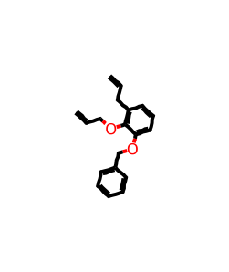 C=CCOc1c(CC=C)cccc1OCc1ccccc1